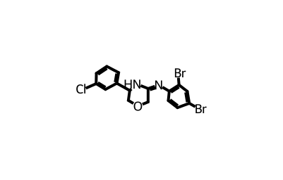 Clc1cccc(C2COCC(=Nc3ccc(Br)cc3Br)N2)c1